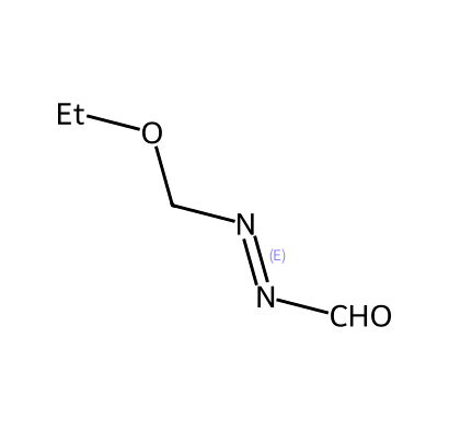 CCOC/N=N/C=O